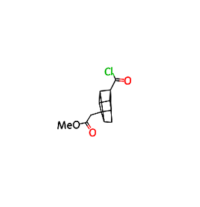 COC(=O)CC12C3C4C1C1C2C3C41C(=O)Cl